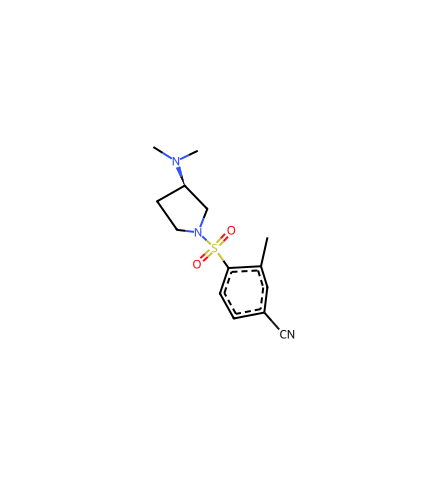 Cc1cc(C#N)ccc1S(=O)(=O)N1CC[C@@H](N(C)C)C1